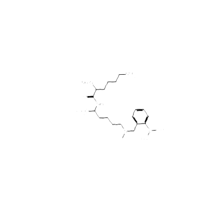 CNC(CCCCN)C(=O)NC(CCCCN(C)Cc1ccccc1B(O)O)C(=O)O